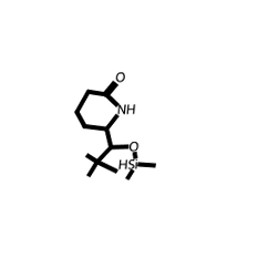 C[SiH](C)OC(C1CCCC(=O)N1)C(C)(C)C